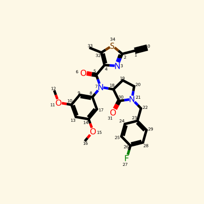 C#Cc1nc(C(=O)N(c2cc(OC)cc(OC)c2)C2CCN(Cc3ccc(F)cc3)C2=O)c(C)s1